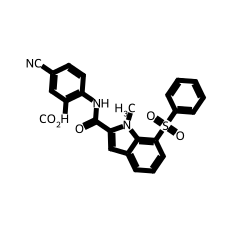 Cn1c(C(=O)Nc2ccc(C#N)cc2C(=O)O)cc2cccc(S(=O)(=O)c3ccccc3)c21